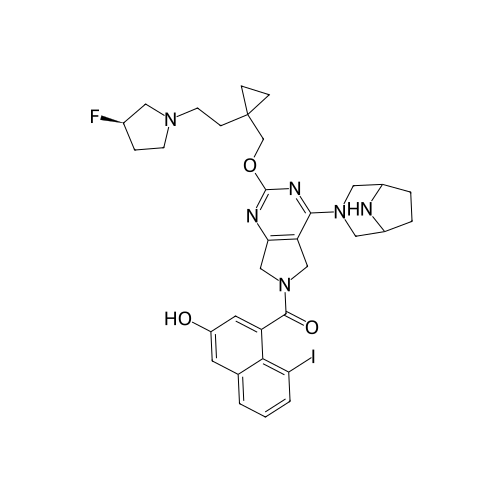 O=C(c1cc(O)cc2cccc(I)c12)N1Cc2nc(OCC3(CCN4CC[C@@H](F)C4)CC3)nc(N3CC4CCC(C3)N4)c2C1